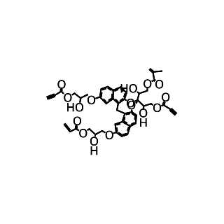 C#CC(=O)OCC(O)COc1ccc2ccc(OCC(O)COC(=O)C#C)c(Cc3c(OCC(O)COC(=O)C(=C)C)ccc4ccc(OCC(O)COC(=O)C=C)cc34)c2c1